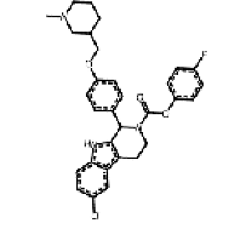 CN1CCCC(COc2ccc(C3c4[nH]c5ccc(Cl)cc5c4CCN3C(=O)Oc3ccc(F)cc3)cc2)C1